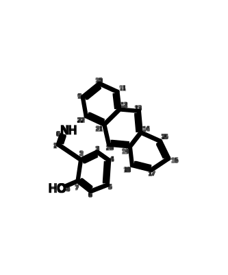 N=Cc1ccccc1O.c1ccc2cc3ccccc3cc2c1